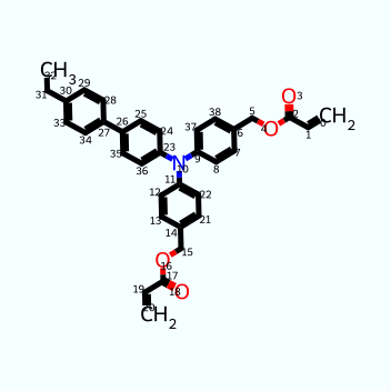 C=CC(=O)OCc1ccc(N(c2ccc(COC(=O)C=C)cc2)c2ccc(-c3ccc(CC)cc3)cc2)cc1